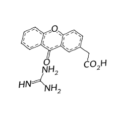 N=C(N)N.O=C(O)Cc1ccc2oc3ccccc3c(=O)c2c1